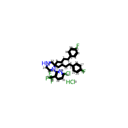 Cl.Fc1ccc(CCCCC2(CCCCc3ccc(F)cc3)CNCCN2c2nc(Cl)ccc2C(F)(F)F)cc1